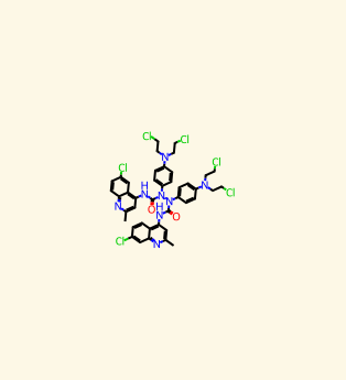 Cc1cc(NC(=O)N(c2ccc(N(CCCl)CCCl)cc2)N(C(=O)Nc2cc(C)nc3ccc(Cl)cc23)c2ccc(N(CCCl)CCCl)cc2)c2ccc(Cl)cc2n1